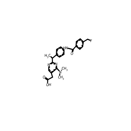 CC(c1ccc(NC(=O)c2ccc(CF)cc2)cc1)c1ncc(CC(=O)O)c(N(C)C)n1